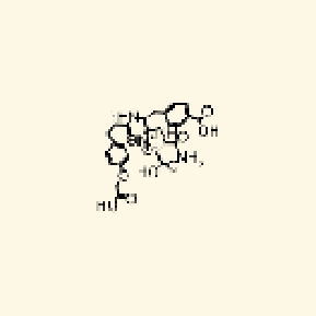 C[C@@H](Cc1ccc(OCC(=O)O)cc1)C(=O)N[C@@H](Cc1ccc(C(=O)O)cc1)/C(N[C@@H](CC(=O)O)C(N)=O)=[NH+]/[O-]